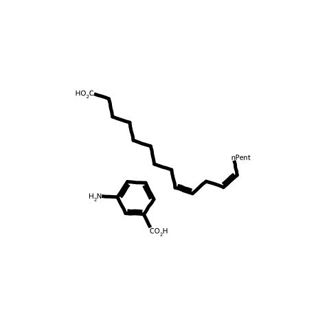 CCCCC/C=C\C/C=C\CCCCCCCC(=O)O.Nc1cccc(C(=O)O)c1